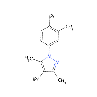 Cc1cc(-n2nc(C)c(C(C)C)c2C)ccc1C(C)C